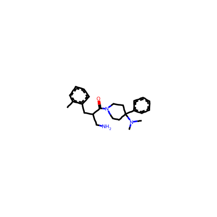 Cc1ccccc1CC(CN)C(=O)N1CCC(c2ccccc2)(N(C)C)CC1